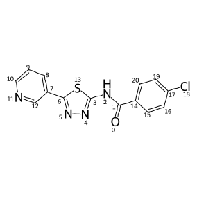 O=C(Nc1nnc(-c2cccnc2)s1)c1ccc(Cl)cc1